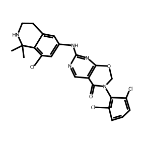 CC1(C)NCCc2cc(Nc3ncc4c(n3)OCN(c3c(Cl)cccc3Cl)C4=O)cc(Cl)c21